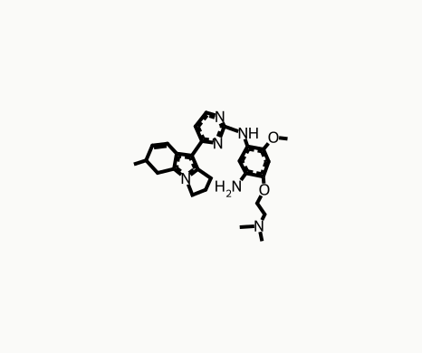 COc1cc(OCCN(C)C)c(N)cc1Nc1nccc(-c2c3c(n4c2CCC4)CC(C)C=C3)n1